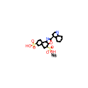 O=S(=O)(O)c1ccc2c(c1)cc(S(=O)(=O)O)c1oc(-c3ccnc4ccccc34)nc12.[Na].[Na]